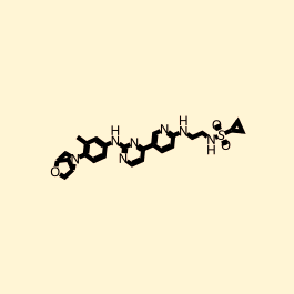 Cc1cc(Nc2nccc(-c3ccc(NCCNS(=O)(=O)C4CC4)nc3)n2)ccc1N1CC2CC1CO2